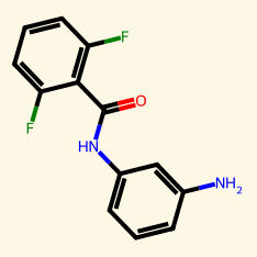 Nc1cccc(NC(=O)c2c(F)cccc2F)c1